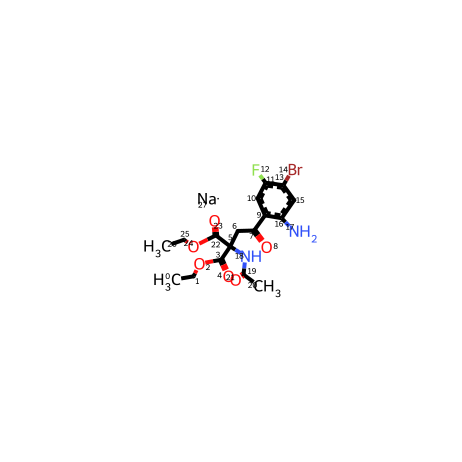 CCOC(=O)C(CC(=O)c1cc(F)c(Br)cc1N)(NC(C)=O)C(=O)OCC.[Na]